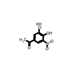 CC(=O)c1cc(Cl)c(O)c([N+](=O)[O-])c1.[KH]